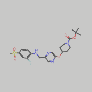 CC(C)(C)OC(=O)N1CCC(Oc2cnc(CNc3ccc(S(C)(=O)=O)cc3F)cn2)CC1